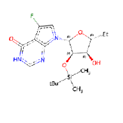 CC[C@H]1O[C@@H](n2cc(F)c3c(=O)[nH]cnc32)[C@H](O[Si](C)(C)C(C)(C)C)[C@@H]1O